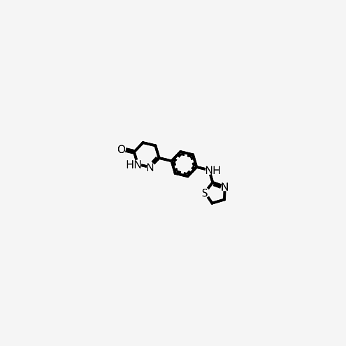 O=C1CCC(c2ccc(NC3=NCCS3)cc2)=NN1